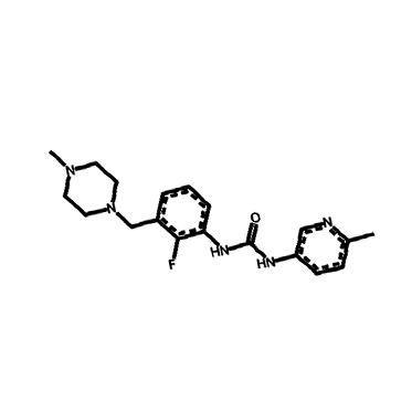 Cc1ccc(NC(=O)Nc2cccc(CN3CCN(C)CC3)c2F)cn1